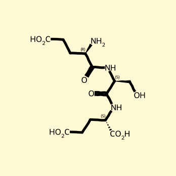 N[C@H](CCC(=O)O)C(=O)N[C@@H](CO)C(=O)N[C@@H](CCC(=O)O)C(=O)O